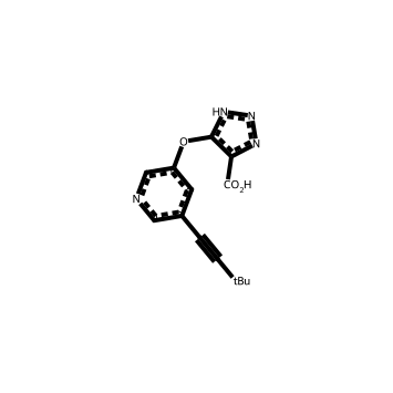 CC(C)(C)C#Cc1cncc(Oc2[nH]nnc2C(=O)O)c1